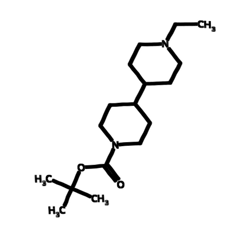 CCN1CCC(C2CCN(C(=O)OC(C)(C)C)CC2)CC1